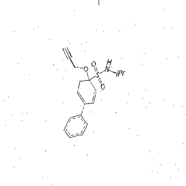 C#CCOC1(S(=O)(=O)NC(C)C)C=CC(c2ccccc2)=CC1